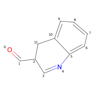 O=CC1C=Nc2ccccc2C1